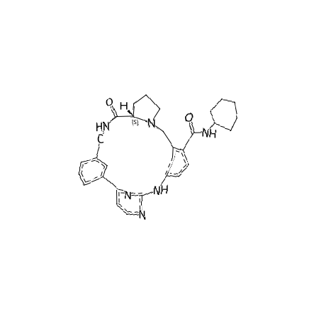 O=C(NC1CCCCC1)c1ccc2cc1CN1CCC[C@H]1C(=O)NCc1cccc(c1)-c1ccnc(n1)N2